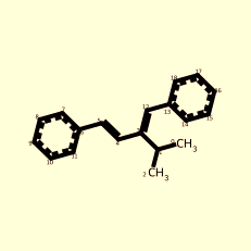 CC(C)C(C=Cc1ccccc1)=Cc1ccccc1